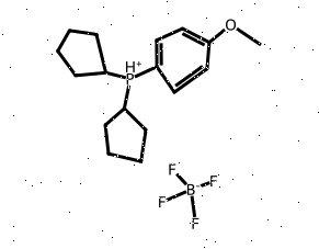 COc1ccc([PH+](C2CCCC2)C2CCCC2)cc1.F[B-](F)(F)F